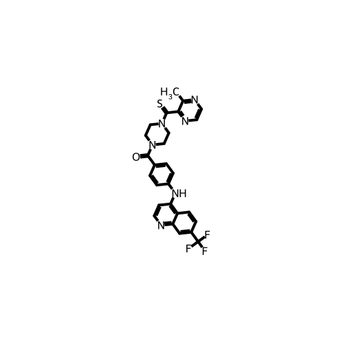 Cc1nccnc1C(=S)N1CCN(C(=O)c2ccc(Nc3ccnc4cc(C(F)(F)F)ccc34)cc2)CC1